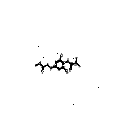 COC(=O)COc1cc(Cl)c(SC(=O)N(C)C)c(Cl)c1